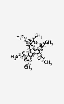 CCCC(=O)Sc1cc2c3cc(SC(=O)CCC)c(SC(=O)CCC)cc3c3cc(SC(=O)CCC)c(SC(=O)CCC)cc3c2cc1SC(=O)CCC